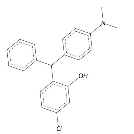 CN(C)c1ccc(C(c2ccccc2)c2ccc(Cl)cc2O)cc1